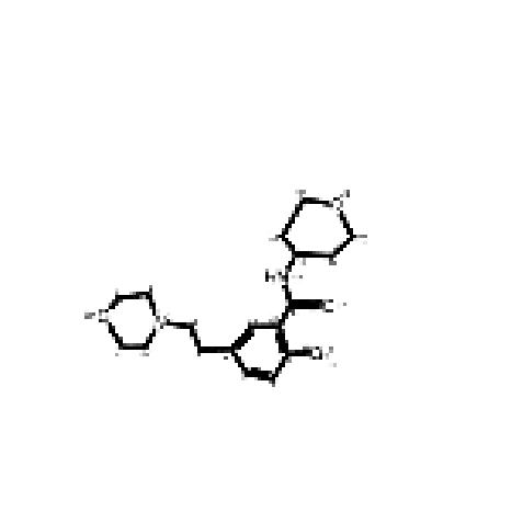 Cc1ccc(CCN2CCOCC2)cc1C(=O)NC1CCOCC1